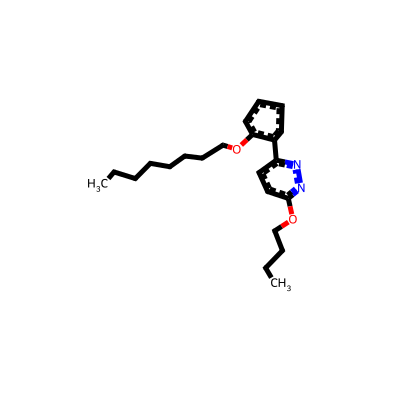 CCCCCCCCOc1ccccc1-c1ccc(OCCCC)nn1